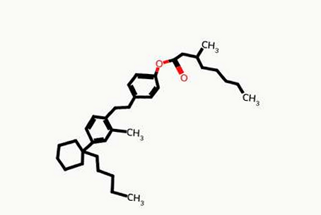 CCCCCC(C)CC(=O)Oc1ccc(CCc2ccc(C3(CCCCC)CCCCC3)cc2C)cc1